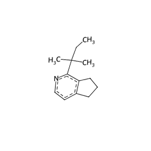 CCC(C)(C)c1nccc2c1CCC2